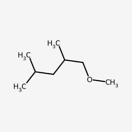 COCC(C)C[C](C)C